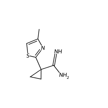 Cc1csc(C2(C(=N)N)CC2)n1